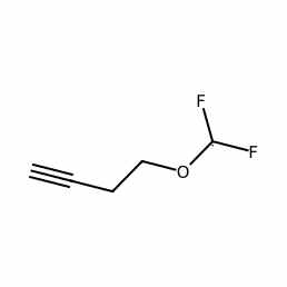 C#CCCO[C](F)F